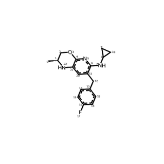 C[C@H]1COc2nc(NC3CC3)c(Cc3ccc(F)cc3)cc2N1